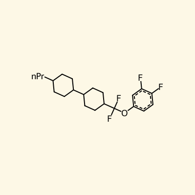 CCCC1CCC(C2CCC(C(F)(F)Oc3ccc(F)c(F)c3)CC2)CC1